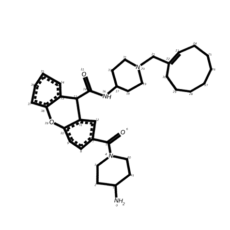 NC1CCN(C(=O)c2ccc3c(c2)C(C(=O)NC2CCN(CC4=CCCCCCCC4)CC2)c2ccccc2O3)CC1